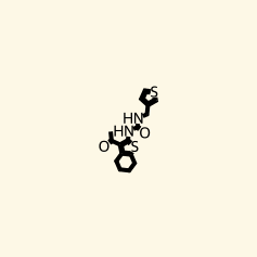 CC(=O)c1c(NC(=O)NCc2ccsc2)sc2c1CCCC2